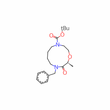 C[C@@H]1OCCN(C(=O)OC(C)(C)C)CCCCN(Cc2ccccc2)C1=O